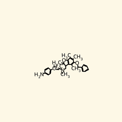 Cc1c(C)c2c(c(C)c1OCc1ccccc1)C(CN(C)CCOc1ccc(N)cc1)C(C)(C)O2